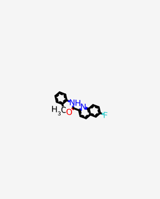 Cc1ccccc1NC(=O)c1ccc2cc(F)ccc2n1